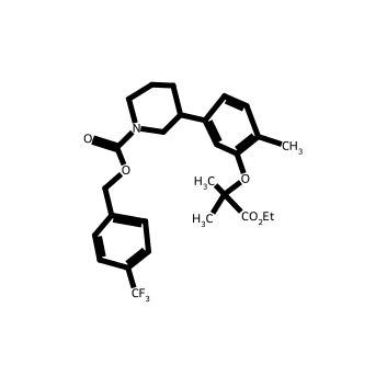 CCOC(=O)C(C)(C)Oc1cc(C2CCCN(C(=O)OCc3ccc(C(F)(F)F)cc3)C2)ccc1C